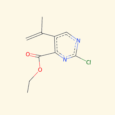 C=C(C)c1cnc(Cl)nc1C(=O)OCC